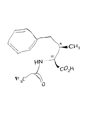 C[C@H](Cc1ccccc1)[C@H](NC(=O)C(F)(F)F)C(=O)O